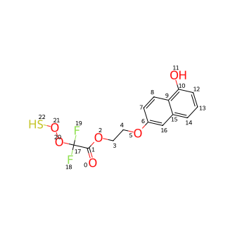 O=C(OCCOc1ccc2c(O)cccc2c1)C(F)(F)OOS